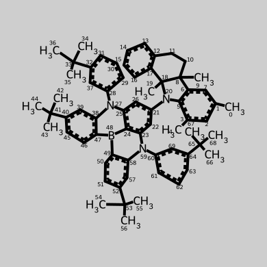 Cc1cc(C)c2c(c1)C1(C)CCc3ccccc3C1(C)N2c1cc2c3c(c1)N(c1cccc(C(C)(C)C)c1)c1cc(C(C)(C)C)ccc1B3c1ccc(C(C)(C)C)cc1N2c1cccc(C(C)(C)C)c1